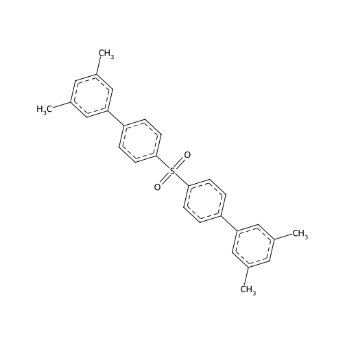 Cc1cc(C)cc(-c2ccc(S(=O)(=O)c3ccc(-c4cc(C)cc(C)c4)cc3)cc2)c1